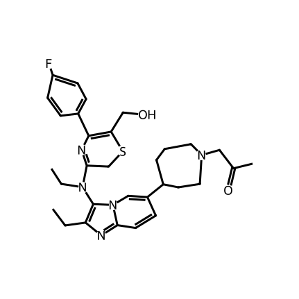 CCc1nc2ccc(C3CCCN(CC(C)=O)CC3)cn2c1N(CC)C1=NC(c2ccc(F)cc2)=C(CO)SC1